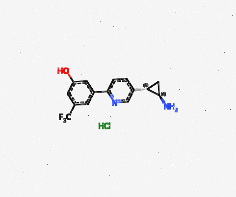 Cl.N[C@@H]1C[C@H]1c1ccc(-c2cc(O)cc(C(F)(F)F)c2)nc1